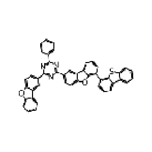 c1ccc(-c2nc(-c3ccc4oc5ccccc5c4c3)nc(-c3ccc4oc5c(-c6cccc7c6sc6ccccc67)cccc5c4c3)n2)cc1